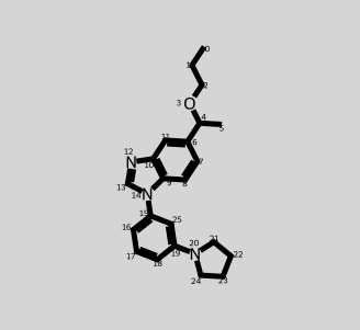 CCCOC(C)c1ccc2c(c1)ncn2-c1cccc(N2CCCC2)c1